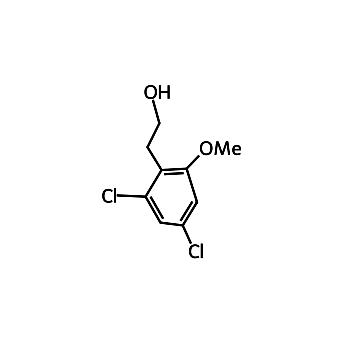 COc1cc(Cl)cc(Cl)c1CCO